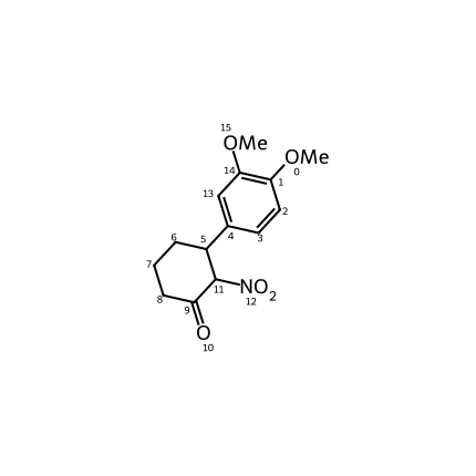 COc1ccc(C2CCCC(=O)C2[N+](=O)[O-])cc1OC